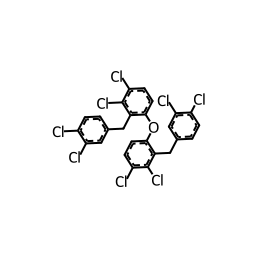 Clc1ccc(Cc2c(Oc3ccc(Cl)c(Cl)c3Cc3ccc(Cl)c(Cl)c3)ccc(Cl)c2Cl)cc1Cl